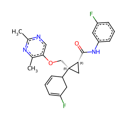 Cc1ncc(OC[C@@]2(C3C=CC=C(F)C3)C[C@H]2C(=O)Nc2cccc(F)c2)c(C)n1